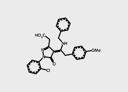 COc1ccc(C/C(NCc2ccccc2)=C2\C(=O)N(c3ccccc3Cl)N=C2CC(=O)O)cc1